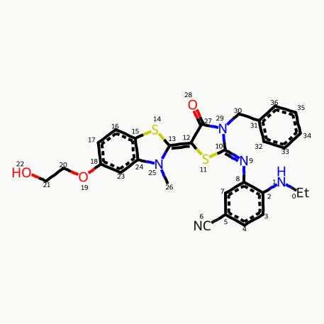 CCNc1ccc(C#N)cc1N=C1SC(=C2Sc3ccc(OCCO)cc3N2C)C(=O)N1Cc1ccccc1